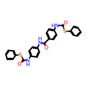 O=C(Nc1ccc(NC(=O)c2ccc(NC(=O)Sc3ccccc3)cc2)cc1)Sc1ccccc1